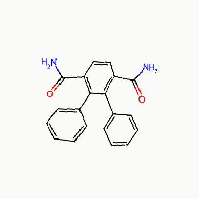 NC(=O)c1ccc(C(N)=O)c(-c2ccccc2)c1-c1ccccc1